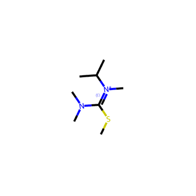 CS/C(N(C)C)=[N+](\C)C(C)C